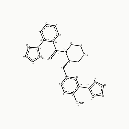 COc1ccc(C[C@@H]2COCCN2C(=O)c2ccccc2-n2nccn2)cc1-c1ncco1